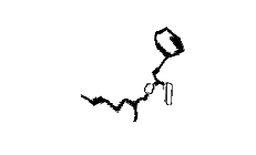 CC=CCCC(C)COC(=O)/C=C/c1ccccc1